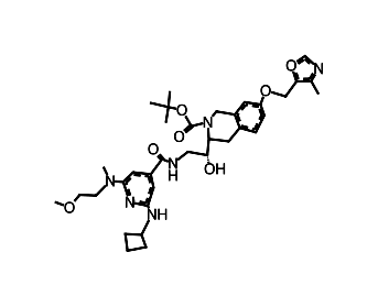 COCCN(C)c1cc(C(=O)NC[C@@H](O)C2Cc3ccc(OCc4ocnc4C)cc3CN2C(=O)OC(C)(C)C)cc(NC2CCC2)n1